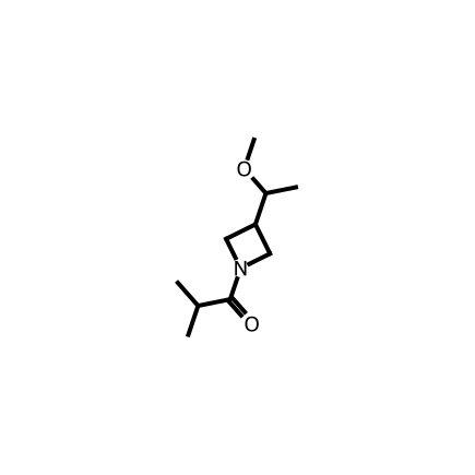 COC(C)C1CN(C(=O)C(C)C)C1